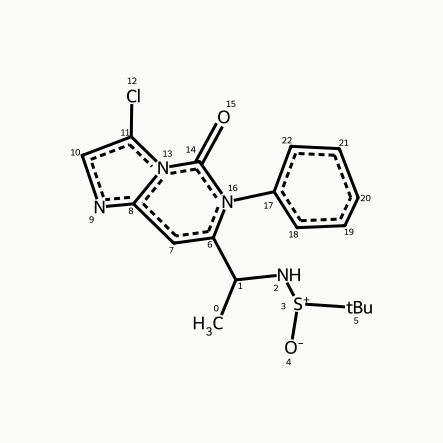 CC(N[S+]([O-])C(C)(C)C)c1cc2ncc(Cl)n2c(=O)n1-c1ccccc1